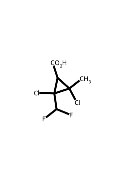 CC1(Cl)C(C(=O)O)C1(Cl)C(F)F